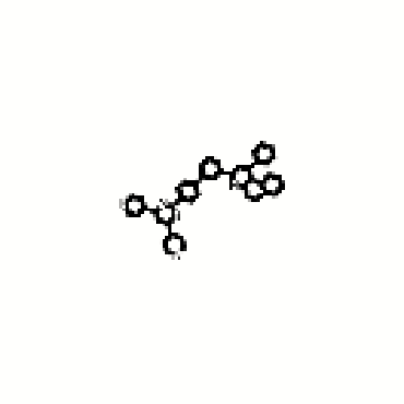 c1ccc(-c2cc(-c3cccc(-c4ccc(-c5nc(-c6ccncc6)cc(-c6ccncc6)n5)cc4)c3)nc3ccc4ccccc4c23)cc1